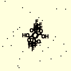 O=C(O)C1=CC(OC(F)(F)C(F)(F)F)(C(=O)O)C(C(=O)O)=CC1(OC(F)(F)C(F)(F)F)C(=O)O